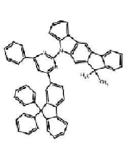 CC1(C)c2ccccc2-c2cc3c4ccccc4n(-c4nc(-c5ccccc5)cc(-c5ccc6c(c5)C(c5ccccc5)(c5ccccc5)c5ccccc5-6)n4)c3cc21